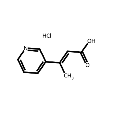 CC(=CC(=O)O)c1cccnc1.Cl